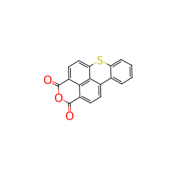 O=c1oc(=O)c2ccc3c4ccccc4sc4ccc1c2c43